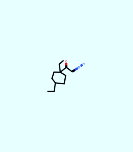 CCC1CCC(CC)(C(=O)C=[N+]=[N-])CC1